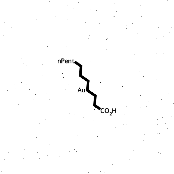 CCCCCCCCCCCC(=O)O.[Au]